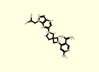 C=C(C)c1cnc(C(F)(F)F)cc1N1CC2(CCN(c3cnc4cnn(CC(F)F)c4n3)C2)C1